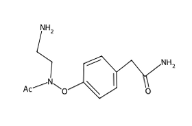 CC(=O)N(CCN)Oc1ccc(CC(N)=O)cc1